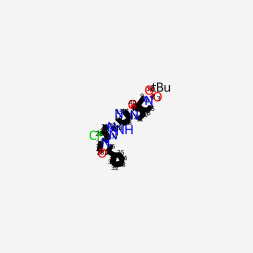 CC(C)(C)OC(=O)N1CCC2(CC1)CCN(c1cncc(Nc3ncc(Cl)c(N4CCOC(c5ccccc5)C4)n3)c1)C2=O